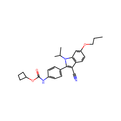 CCCOc1ccc2c(C#N)c(-c3ccc(NC(=O)OC4CCC4)cc3)n(C(C)C)c2c1